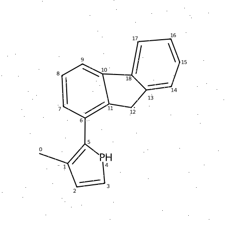 Cc1cc[pH]c1-c1cccc2c1[CH]c1ccccc1-2